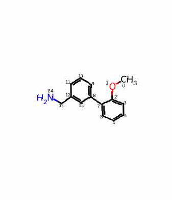 COc1ccccc1-c1cccc(CN)c1